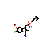 COc1cc2c(CC(=O)OCC[Si](C)(C)C)c(C)[nH]c2cc1F